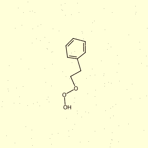 OOOCCc1ccccc1